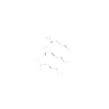 C/C=C/C=C/C(=O)[O-].C/C=C/C=C/C(=O)[O-].C/C=C/C=C/C(=O)[O-].[Sm+3]